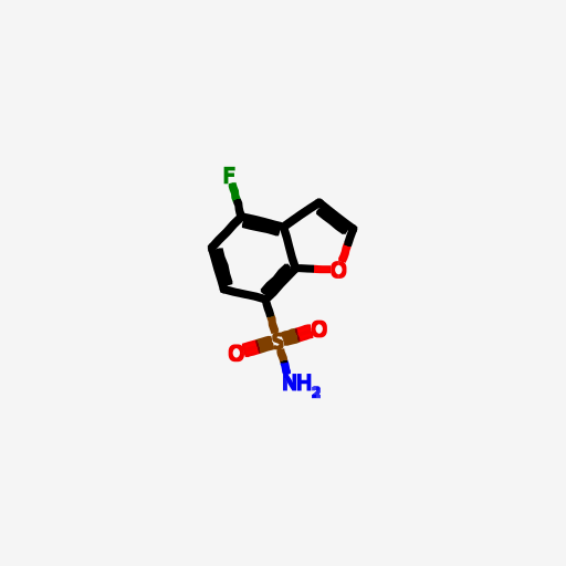 NS(=O)(=O)c1ccc(F)c2ccoc12